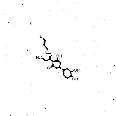 CC/C(=N\OC/C=C/Cl)C1=C(O)CC(C2CCC(O)C(O)C2)CC1=O